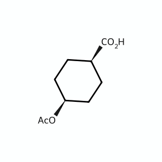 CC(=O)O[C@H]1CC[C@@H](C(=O)O)CC1